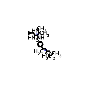 C=C/C(=C\C(=C)c1ccc(SN/C(C(=N)CC2CC2)=C(\C)NC)cc1)CN(C)C